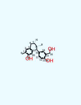 Cc1cc(C[C@H](C)[C@H](C)Cc2ccc(O)c(CO)c2)ccc1O